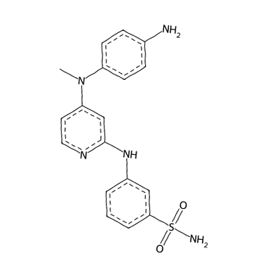 CN(c1ccc(N)cc1)c1ccnc(Nc2cccc(S(N)(=O)=O)c2)c1